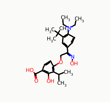 CCN(CC)c1ccc(C(COc2ccc(C(=O)O)c(O)c2C(C)C)=NO)cc1C(C)(C)C